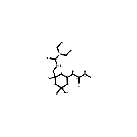 CCN(CC)C(=O)NCC1(C)CC(NC(=O)NC)CC(C)(C)C1